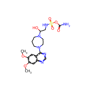 COc1cc2ncnc(N3CCCN(C(O)CNS(=O)(=O)OC(N)=O)CC3)c2cc1OC